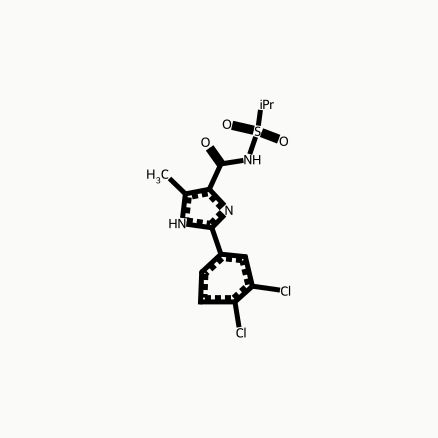 Cc1[nH]c(-c2ccc(Cl)c(Cl)c2)nc1C(=O)NS(=O)(=O)C(C)C